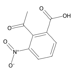 CC(=O)c1c(C(=O)O)cccc1[N+](=O)[O-]